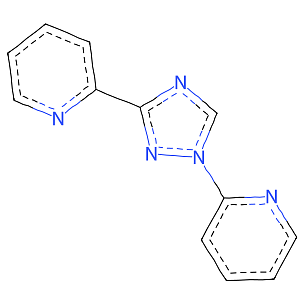 c1ccc(-c2ncn(-c3ccccn3)n2)nc1